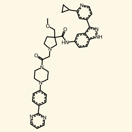 COCC1(C(=O)Nc2ccc3[nH]nc(-c4ccnc(C5CC5)c4)c3c2)CCN(CC(=O)N2CCN(c3ccc(-c4ncccn4)cc3)CC2)C1